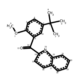 COc1ccc(C(C)(C)C)cc1C(=O)c1ccc2ccccc2n1